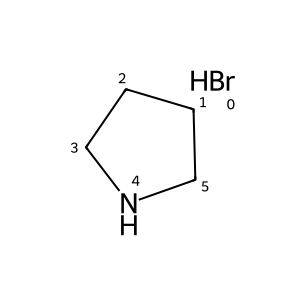 Br.C1CCNC1